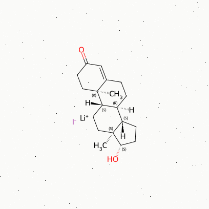 C[C@]12CC[C@H]3[C@@H](CCC4=CC(=O)CC[C@@]43C)[C@@H]1CC[C@@H]2O.[I-].[Li+]